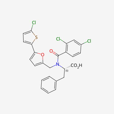 O=C(O)[C@H](Cc1ccccc1)N(Cc1ccc(-c2ccc(Cl)s2)o1)C(=O)c1ccc(Cl)cc1Cl